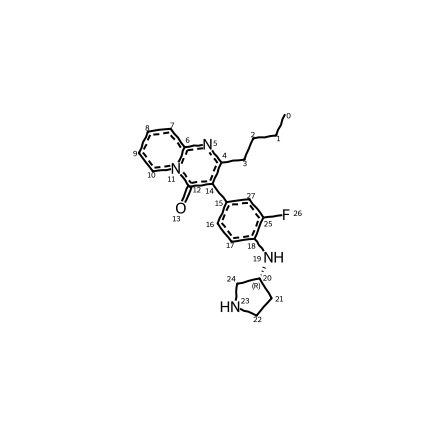 CCCCc1nc2ccccn2c(=O)c1-c1ccc(N[C@@H]2CCNC2)c(F)c1